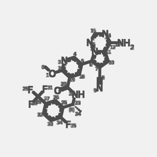 COc1ncc(-c2c(C#N)cc3c(N)ncnn23)cc1C(=O)N[C@H](C)c1cc(C(F)(F)F)ccc1F